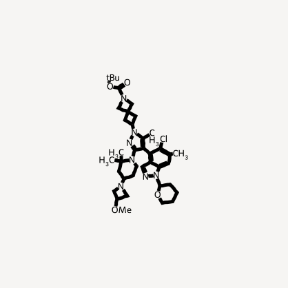 COC1CN(C2CCN(c3nn(C4CC5(C4)CN(C(=O)OC(C)(C)C)C5)c(C)c3-c3c(Cl)c(C)cc4c3cnn4C3CCCCO3)C(C)(C)C2)C1